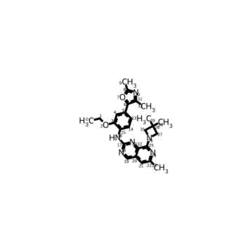 CCOc1cc(-c2oc(C)nc2C)ccc1Nc1ncc2cc(C)nc(N3CC(C)(C)C3)c2n1